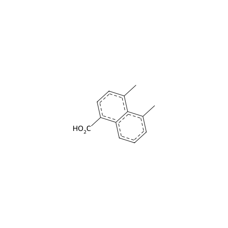 Cc1cccc2c(C(=O)O)ccc(C)c12